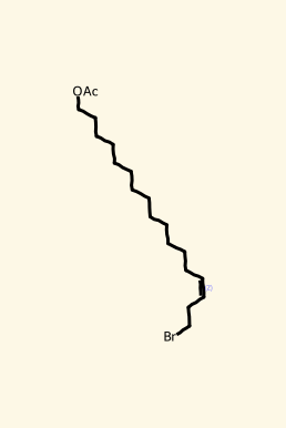 CC(=O)OCCCCCCCCCCCCC/C=C\CCBr